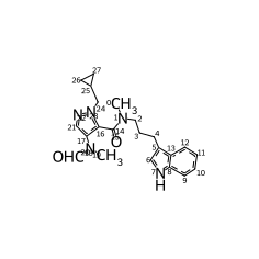 CN(CCCc1c[nH]c2ccccc12)C(=O)c1c(N(C)C=O)cnn1CC1CC1